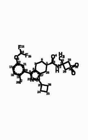 CC1(NC(=O)[C@@H]2CCc3c(-c4cc(OC(F)F)ccc4F)nn(C4CCC4)c3C2)CS(=O)(=O)C1